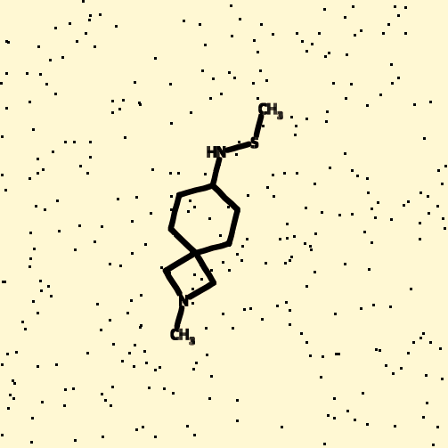 CSNC1CCC2(CC1)CN(C)C2